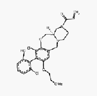 C=CC(=O)N1CCN2Cc3cc(OCCOC)c(-c4c(O)cccc4Cl)c(Cl)c3OC[C@H]2C1